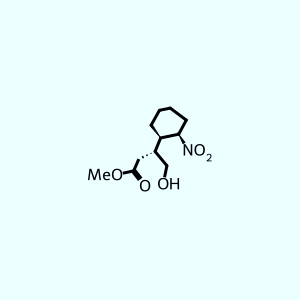 COC(=O)C[C@@H](CO)[C@H]1CCCC[C@H]1[N+](=O)[O-]